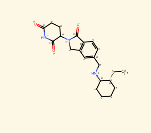 CC[C@@H]1CCCC[C@H]1NCc1ccc2c(c1)CN(C1CCC(=O)NC1=O)C2=O